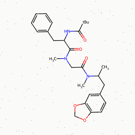 CC(Cc1ccc2c(c1)OCO2)N(C)C(=O)CN(C)C(=O)C(Cc1ccccc1)NC(=O)C(C)(C)C